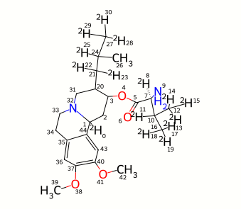 [2H]C12CC(OC(=O)[C@@]([2H])(N)C([2H])(C([2H])([2H])[2H])C([2H])([2H])[2H])C(C([2H])([2H])C([2H])(C)C([2H])([2H])[2H])CN1CCc1cc(OC)c(OC)cc12